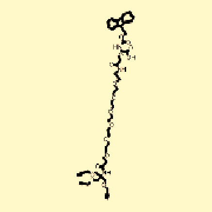 C#CCOCC(COCC#C)(COCC#C)NC(=O)CCOCCOCCOCCOCCOCCOCCNC(=O)CC[C@H](NC(=O)OCC1c2ccccc2-c2ccccc21)C(=O)O